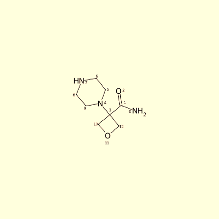 NC(=O)C1(N2CCNCC2)COC1